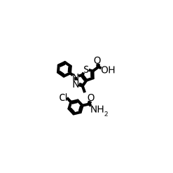 Cc1nn(-c2ccccc2)c2sc(C(=O)O)cc12.NC(=O)c1cccc(Cl)c1